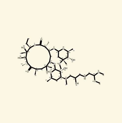 CC[C@H]1OC(=O)[C@H](C)[C@@H](OC2C[C@@](C)(OC)[C@@H](O)[C@H](C)O2)C[C@@H](OC2O[C@H](C)C[C@H](N(C)CC(O)CNCC(OC)OC)[C@H]2O)[C@](C)(O)C[C@@H](C)C(=O)[C@H](C)[C@@H](O)[C@]1(C)O